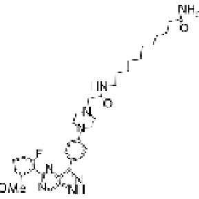 COc1cccc(F)c1-c1ncc2[nH]nc(-c3ccc(N4CCN(CC(=O)NCCCCCCCCCCC(N)=O)CC4)cc3)c2n1